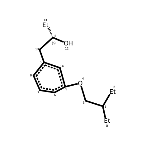 CCC(CC)COc1cccc(C[C@@H](O)CC)c1